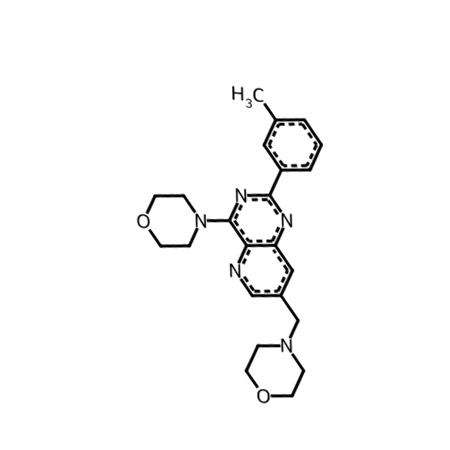 Cc1cccc(-c2nc(N3CCOCC3)c3ncc(CN4CCOCC4)cc3n2)c1